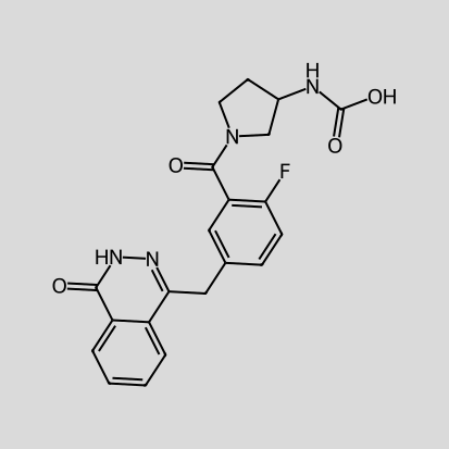 O=C(O)NC1CCN(C(=O)c2cc(Cc3n[nH]c(=O)c4ccccc34)ccc2F)C1